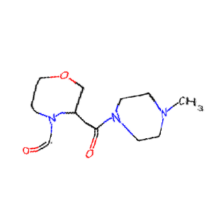 CN1CCN(C(=O)C2COCCN2[C]=O)CC1